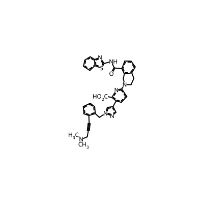 CN(C)CC#Cc1ccccc1Cn1cc(-c2ccc(N3CCc4cccc(C(=O)Nc5nc6ccccc6s5)c4C3)nc2C(=O)O)cn1